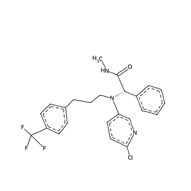 CNC(=O)[C@H](c1ccccc1)N(CCCc1ccc(C(F)(F)F)cc1)c1ccc(Cl)nc1